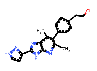 Cc1nc2[nH]c(-c3cc[nH]n3)nc2c(C)c1-c1ccc(CCO)cc1